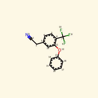 N#CCc1ccc(C(F)(F)F)c(Oc2ccccc2)c1